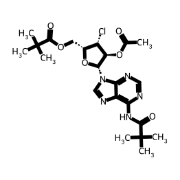 CC(=O)O[C@@H]1[C@@H](Cl)[C@@H](COC(=O)C(C)(C)C)O[C@H]1n1cnc2c(NC(=O)C(C)(C)C)ncnc21